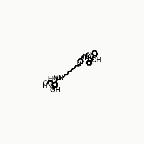 O=c1ccc2c(C(O)CNCCCCCCCCCN3CCC(Cn4cnc(C(O)(c5ccccc5)C5CCCCC5)n4)CC3)ccc(O)c2[nH]1